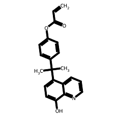 C=CC(=O)Oc1ccc(C(C)(C)c2ccc(O)c3ncccc23)cc1